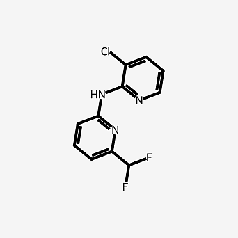 FC(F)c1cccc(Nc2ncccc2Cl)n1